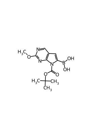 COc1ncc2cc(B(O)O)n(C(=O)OC(C)(C)C)c2n1